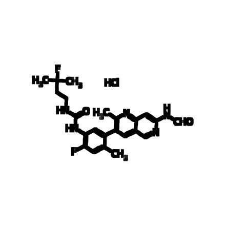 Cc1cc(F)c(NC(=O)NCCC(C)(C)F)cc1-c1cc2cnc(NC=O)cc2nc1C.Cl